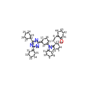 C1=Cc2c(ccc3c4ccccc4n(-c4cccc(-c5nc(-c6ccccc6)nc(-c6ccccc6)n5)c4)c23)Oc2ccccc21